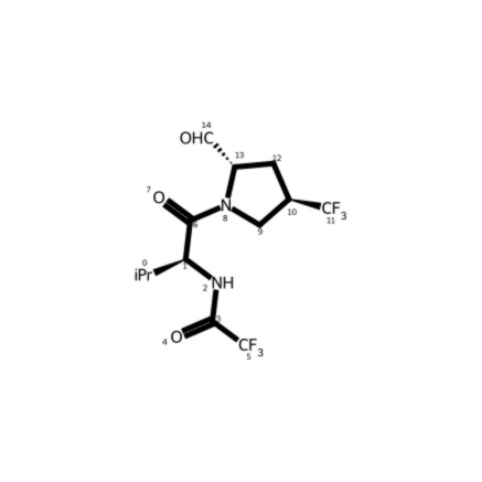 CC(C)[C@H](NC(=O)C(F)(F)F)C(=O)N1C[C@H](C(F)(F)F)C[C@H]1C=O